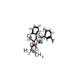 CCOC(=O)N1N=C(c2cc(F)ccc2F)S[C@]12c1ccccc1OC[C@@H]2CCN